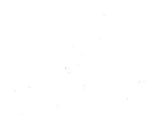 CN(C)Cc1ccc(C(=O)Nc2cc(-c3ccccc3)ccc2NC(=O)c2ccc([19F])cc2)cc1